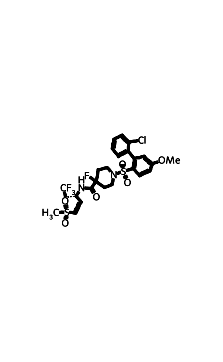 COc1ccc(S(=O)(=O)N2CCC(F)(C(=O)N[C@H](/C=C\S(C)(=O)=O)CC(F)(F)F)CC2)c(-c2ccccc2Cl)c1